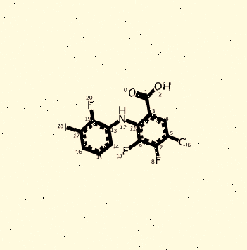 O=C(O)c1cc(Cl)c(F)c(F)c1Nc1cccc(I)c1F